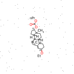 CCCOC(=O)O[C@H]1CC[C@H]2[C@@H]3CCC4=C[C@H](OCC)CC[C@]4(C)[C@H]3CC[C@]12C